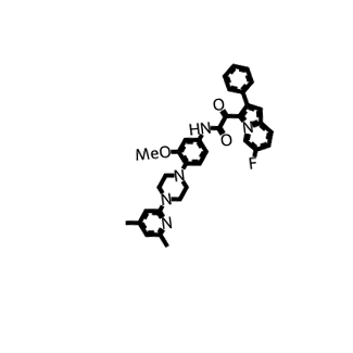 COc1cc(NC(=O)C(=O)c2c(-c3ccccc3)cc3ccc(F)cn23)ccc1N1CCN(c2cc(C)cc(C)n2)CC1